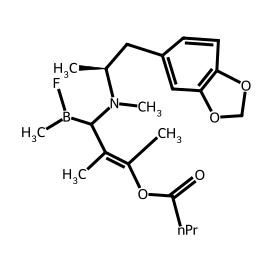 CCCC(=O)O/C(C)=C(\C)C(B(C)F)N(C)[C@@H](C)Cc1ccc2c(c1)OCO2